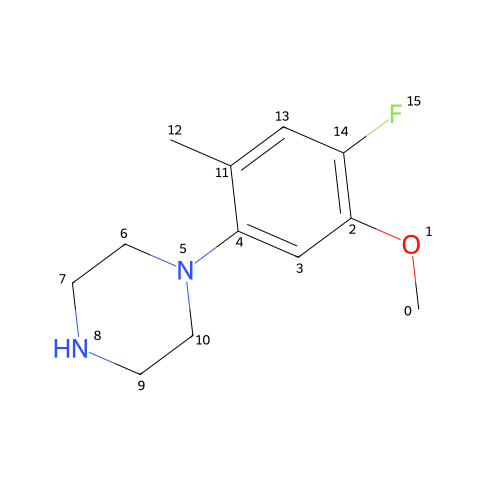 COc1cc(N2CCNCC2)c(C)cc1F